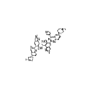 Cn1cc2cc(-c3ncc4cc(N5CCNCC5)ccc4n3)c(O)c(CCc3c(O)c(-c4nc(-c5cncs5)c5cc(N6CCNCC6)ccc5n4)cc4cn(C)nc34)c2n1